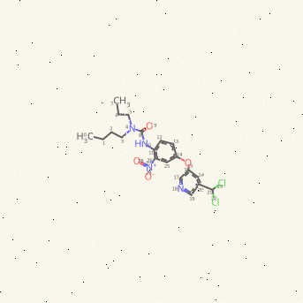 CCCCN(CCC)C(=O)Nc1ccc(Oc2cncc(C(Cl)Cl)c2)cc1[N+](=O)[O-]